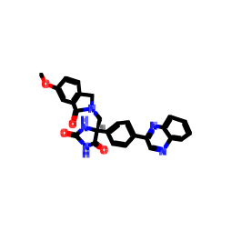 COc1ccc2c(c1)C(=O)N(C[C@]1(c3ccc(-c4cnc5ccccc5n4)cc3)NC(=O)NC1=O)C2